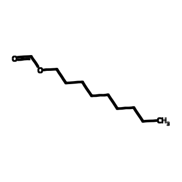 CCCCCCCCCOC=O